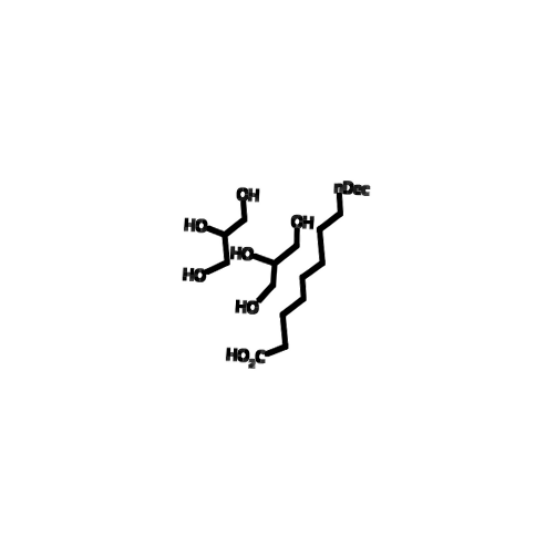 CCCCCCCCCCCCCCCCCC(=O)O.OCC(O)CO.OCC(O)CO